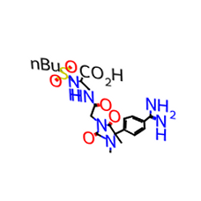 CCCCS(=O)(=O)NC(CNC(=O)CN1C(=O)N(C)C(C)(c2ccc(C(=N)N)cc2)C1=O)C(=O)O